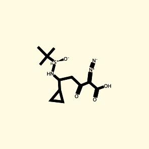 CC(C)(C)[S@@+]([O-])NC(CC(=O)C(=[N+]=[N-])C(=O)O)C1CC1